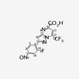 O=Nc1ccc(-c2cc3nc(C(=O)O)cc(C(F)(F)F)n3n2)c(F)c1